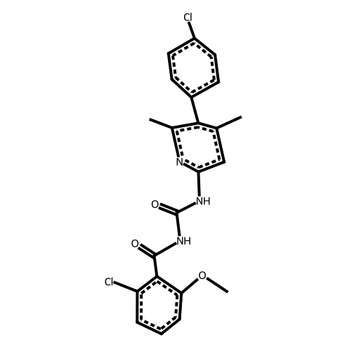 COc1cccc(Cl)c1C(=O)NC(=O)Nc1cc(C)c(-c2ccc(Cl)cc2)c(C)n1